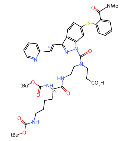 CNC(=O)c1ccccc1Sc1ccc2c(/C=C/c3ccccn3)nn(C(=O)N(CCNC(=O)[C@H](CCCCNC(=O)OC(C)(C)C)NC(=O)OC(C)(C)C)CCC(=O)O)c2c1